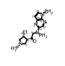 CC[C@@H]1CN(P)C[C@@H]1C(=O)CN(P)c1cnc2c(ccn2P)n1